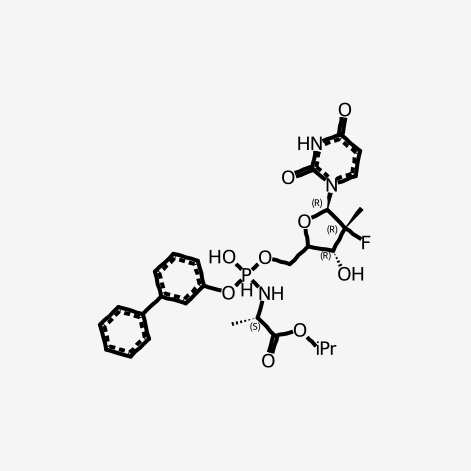 CC(C)OC(=O)[C@H](C)N[PH](O)(OCC1O[C@@H](n2ccc(=O)[nH]c2=O)[C@](C)(F)[C@@H]1O)Oc1cccc(-c2ccccc2)c1